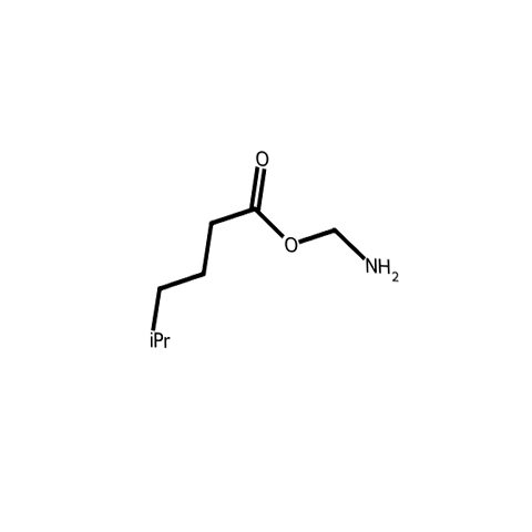 CC(C)CCCC(=O)OCN